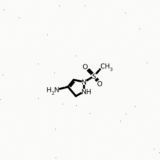 CS(=O)(=O)N1C=C(N)CN1